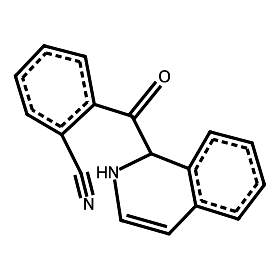 N#Cc1ccccc1C(=O)C1NC=Cc2ccccc21